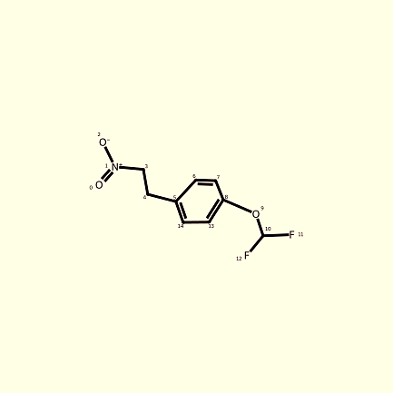 O=[N+]([O-])CCc1ccc(OC(F)F)cc1